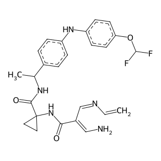 C=C/N=C\C(=C/N)C(=O)NC1(C(=O)NC(C)c2ccc(Nc3ccc(OC(F)F)cc3)cc2)CC1